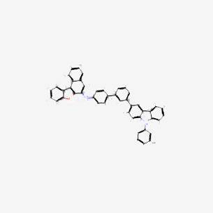 c1ccc(-n2c3ccccc3c3cc(-c4cccc(-c5ccc(Nc6cc7ccccc7c7c6oc6ccccc67)cc5)c4)ccc32)cc1